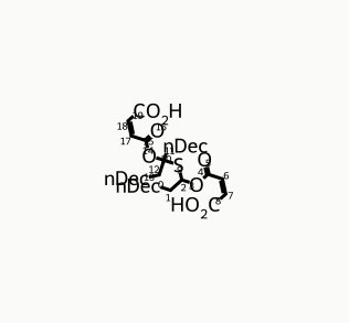 CCCCCCCCCCCC(OC(=O)/C=C\C(=O)O)SC(CCCCCCCCCC)(CCCCCCCCCCC)OC(=O)/C=C\C(=O)O